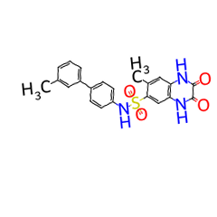 Cc1cccc(-c2ccc(NS(=O)(=O)c3cc4[nH]c(=O)c(=O)[nH]c4cc3C)cc2)c1